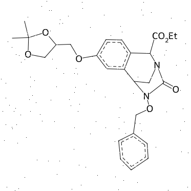 CCOC(=O)C1c2ccc(OCC3COC(C)(C)O3)cc2C2CN1C(=O)N2OCc1ccccc1